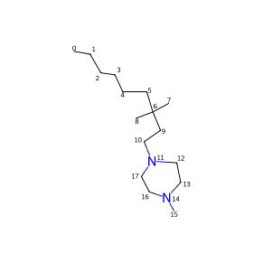 CCCCCCC(C)(C)CCN1CCN(C)CC1